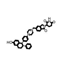 O=C1CCC(N2Cc3cc(CN4CCN(c5ccc([C@@H]6c7ccc(O)cc7CC[C@@H]6c6ccccc6)cc5)CC4)ccc3C2=O)C(=O)N1